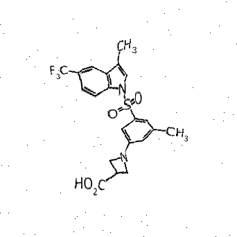 Cc1cc(N2CC(C(=O)O)C2)cc(S(=O)(=O)n2cc(C)c3cc(C(F)(F)F)ccc32)c1